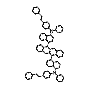 C(=Cc1ccc(N(c2ccccc2)c2cccc3c(-c4c5ccccc5cc5c(-c6ccc(N(c7ccccc7)c7ccc(C=Cc8ccccc8)cc7)c7ccccc67)c6ccccc6cc45)cccc23)cc1)c1ccccc1